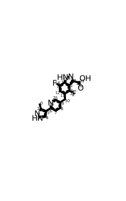 Cc1n[nH]cc1-c1ccc(Cc2cc(F)c3[nH]nc(C(=O)O)c3c2F)cn1